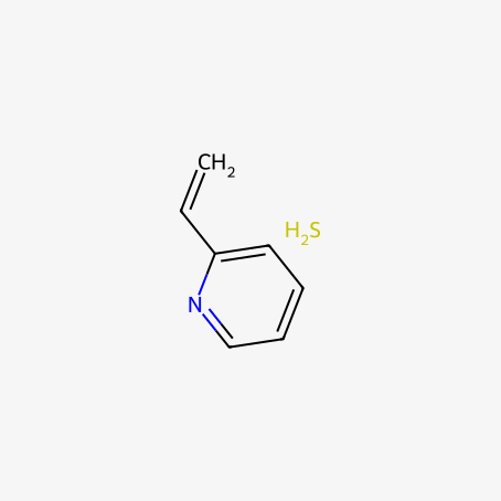 C=Cc1ccccn1.S